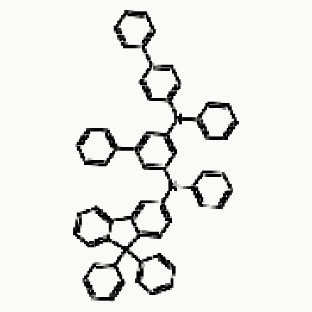 c1ccc(-c2ccc(N(c3ccccc3)c3cc(-c4ccccc4)cc(N(c4ccccc4)c4ccc5c(c4)-c4ccccc4C5(c4ccccc4)c4ccccc4)c3)cc2)cc1